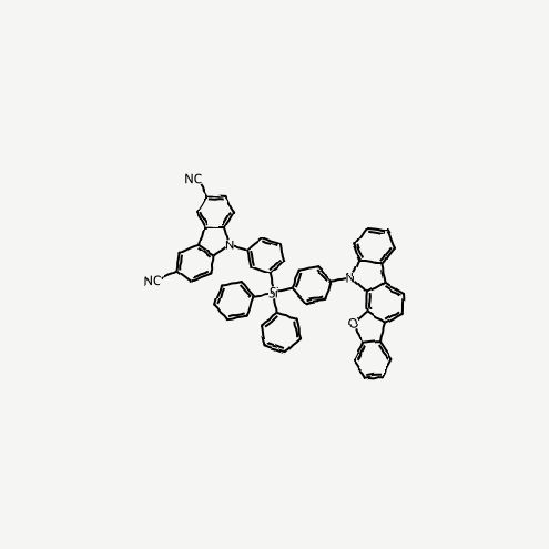 N#Cc1ccc2c(c1)c1cc(C#N)ccc1n2-c1cccc([Si](c2ccccc2)(c2ccccc2)c2ccc(-n3c4ccccc4c4ccc5c6ccccc6oc5c43)cc2)c1